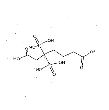 O=C(O)CCCC(CC(=O)O)(P(=O)(O)O)P(=O)(O)O